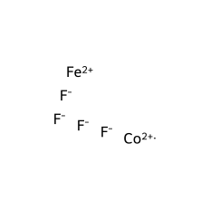 [Co+2].[F-].[F-].[F-].[F-].[Fe+2]